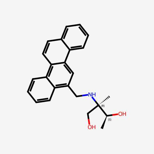 C[C@H](O)[C@@](C)(CO)NCc1cc2c3ccccc3ccc2c2ccccc12